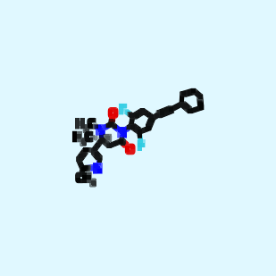 Cc1ccc([C@]2(C)CC(=O)N(c3c(F)cc(C#Cc4ccccc4)cc3F)C(=O)N2C)cn1